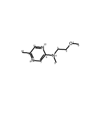 COCCN(C)c1cnc(C)cn1